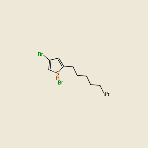 CC(C)CCCCCC1=CC(Br)=C[SH]1Br